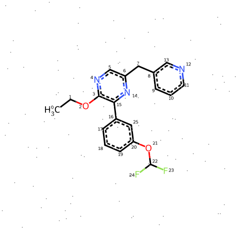 CCOc1ncc(Cc2cccnc2)nc1-c1cccc(OC(F)F)c1